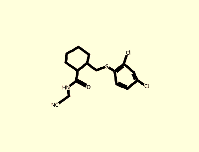 N#CCNC(=O)C1CCCCC1CSc1ccc(Cl)cc1Cl